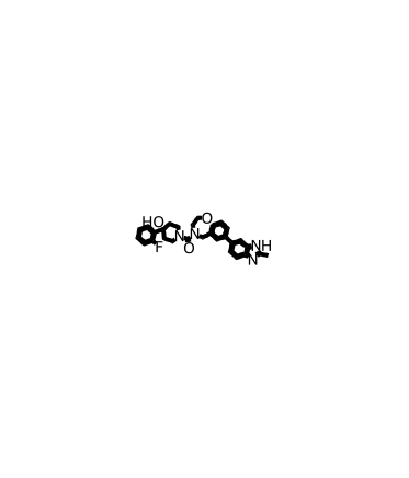 Cc1nc2ccc(-c3ccc4c(c3)CN(C(=O)N3CCC(O)(c5ccccc5F)CC3)CCO4)cc2[nH]1